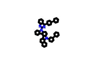 c1ccc(-c2ccc(-c3nc(-n4c5ccccc5c5c6c7ccc8ccccc8c7n(-c7cccc(-c8ccccc8)c7)c6ccc54)nc4ccccc34)cc2)cc1